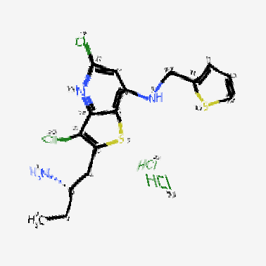 CC[C@H](N)Cc1sc2c(NCc3cccs3)cc(Cl)nc2c1Cl.Cl.Cl